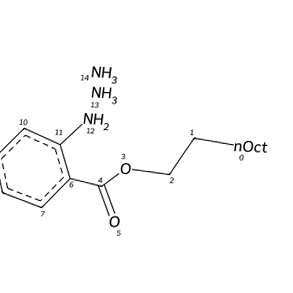 CCCCCCCCCCOC(=O)c1ccccc1N.N.N